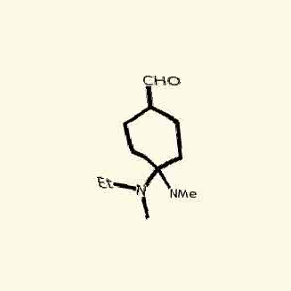 CCN(C)C1(NC)CCC(C=O)CC1